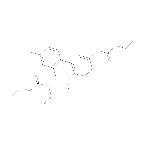 CCOC(=O)Cc1cnc(OC)c(-c2ccc(C)cc2CN(CC)C(=O)COC)c1